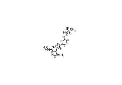 CNc1nc2sc(-c3cccc(CCNS(C)(=O)=O)c3)nc2c2c1ncn2C